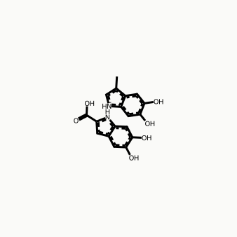 Cc1c[nH]c2cc(O)c(O)cc12.O=C(O)c1cc2cc(O)c(O)cc2[nH]1